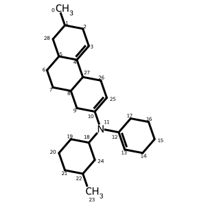 CC1CC=C2C(CCC3CC(N(C4=CCCCC4)C4CCCC(C)C4)=CCC23)C1